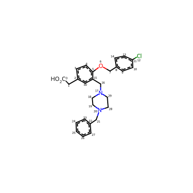 O=C(O)Cc1ccc(OCc2ccc(Cl)cc2)c(CN2CCN(Cc3ccccc3)CC2)c1